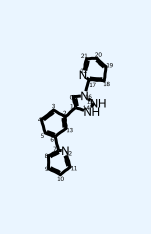 C1=C(c2cccc(-c3ccccn3)c2)NNN1c1ccccn1